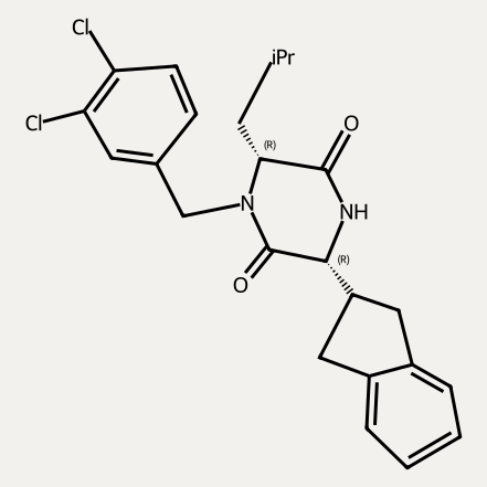 CC(C)C[C@@H]1C(=O)N[C@H](C2Cc3ccccc3C2)C(=O)N1Cc1ccc(Cl)c(Cl)c1